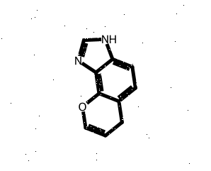 C1=COc2c(ccc3[nH]cnc23)C1